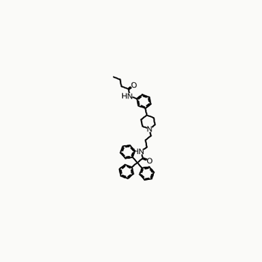 CCCC(=O)Nc1cccc(C2CCN(CCCNC(=O)C(c3ccccc3)(c3ccccc3)c3ccccc3)CC2)c1